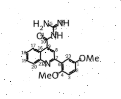 COc1ccc(OC)c(-c2cc(C(=O)NC(=N)N)c3ccccc3n2)c1